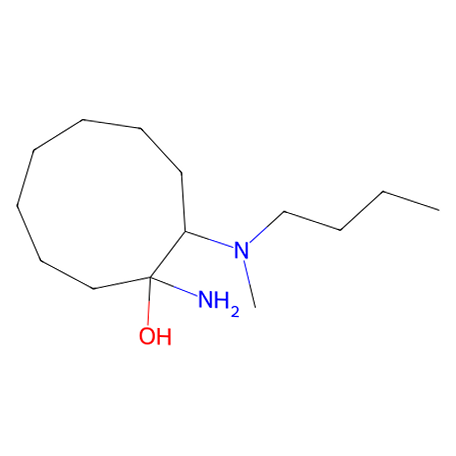 CCCCN(C)C1CCCCCCCC1(N)O